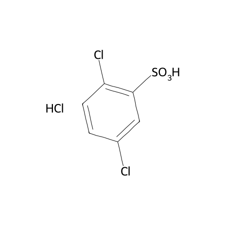 Cl.O=S(=O)(O)c1cc(Cl)ccc1Cl